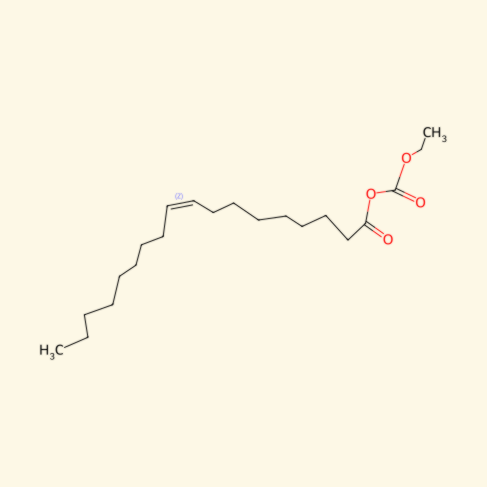 CCCCCCCC/C=C\CCCCCCCC(=O)OC(=O)OCC